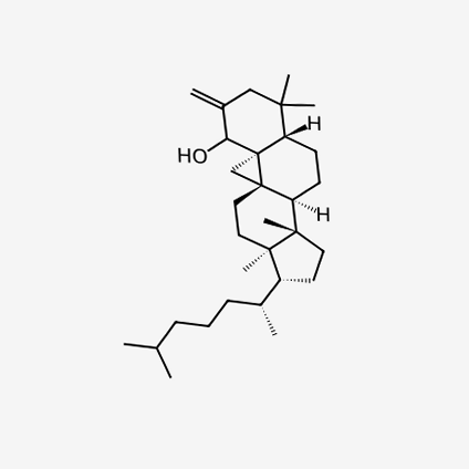 C=C1CC(C)(C)[C@@H]2CC[C@@H]3[C@]4(CC[C@]5(C)[C@@H]([C@H](C)CCCC(C)C)CC[C@@]35C)C[C@]24C1O